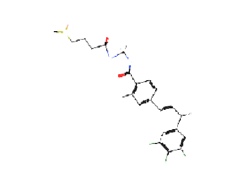 C[C@H](NC(=O)CCC[S+](C)[O-])NC(=O)c1ccc(/C=C/C(c2cc(Cl)c(Cl)c(Cl)c2)C(F)(F)F)cc1C(F)(F)F